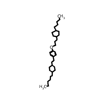 CCCCCCC1CCC(CCc2ccc(OCCCC3CCC(CCCCC)CC3)cc2)CC1